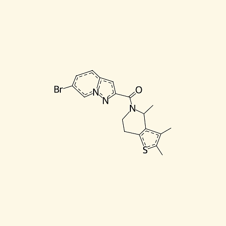 Cc1sc2c(c1C)C(C)N(C(=O)c1cc3ccc(Br)cn3n1)CC2